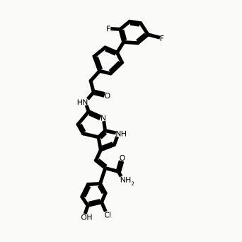 NC(=O)C(=Cc1c[nH]c2nc(NC(=O)Cc3ccc(-c4cc(F)ccc4F)cc3)ccc12)c1ccc(O)c(Cl)c1